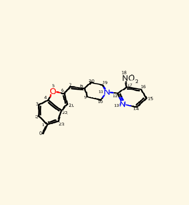 Cc1ccc2oc(C=C3CCN(c4ncccc4[N+](=O)[O-])CC3)cc2c1